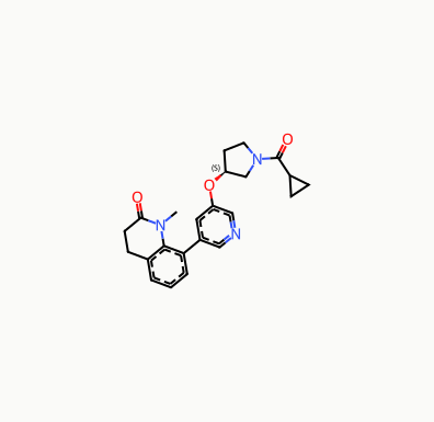 CN1C(=O)CCc2cccc(-c3cncc(O[C@H]4CCN(C(=O)C5CC5)C4)c3)c21